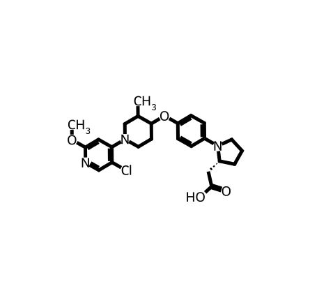 COc1cc(N2CCC(Oc3ccc(N4CCC[C@@H]4CC(=O)O)cc3)C(C)C2)c(Cl)cn1